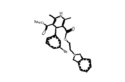 COC(=O)C1=C(C)NC(C)=C(C(=O)OCCN2Cc3ccccc3C2)C1c1cccc(Br)c1